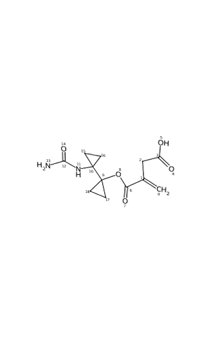 C=C(CC(=O)O)C(=O)OC1(C2(NC(N)=O)CC2)CC1